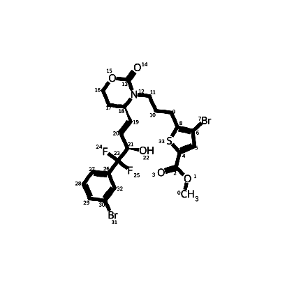 COC(=O)c1cc(Br)c(CCCN2C(=O)OCC[C@@H]2C=C[C@@H](O)C(F)(F)c2cccc(Br)c2)s1